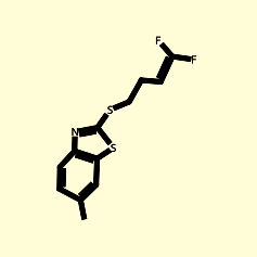 Cc1ccc2nc(SCCC=C(F)F)sc2c1